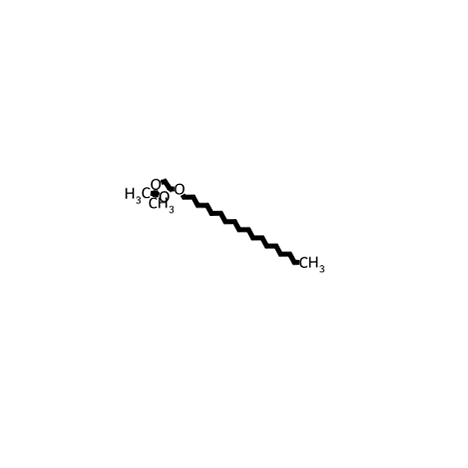 CCCCCCCCCCCCCCCCCCOC1COC(C)(C)O1